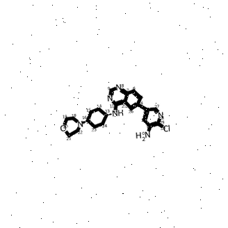 Nc1cc(-c2ccc3ncnc(N[C@H]4CC[C@H](N5CCOCC5)CC4)c3c2)cnc1Cl